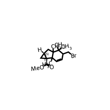 COC(=O)[C@@]12C[C@@H]1CC1(C)C(C)(C)C(CBr)C=CC12C